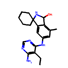 CCc1c(N)ncnc1Nc1cc(C)c2c(c1)C1(CCCCC1)NC2O